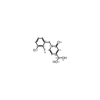 CCc1cccc(Cn2ccc(B(O)O)cc2=O)c1F